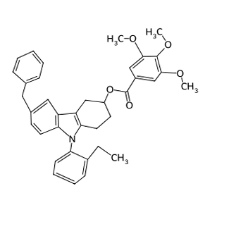 CCc1ccccc1-n1c2c(c3cc(Cc4ccccc4)ccc31)CC(OC(=O)c1cc(OC)c(OC)c(OC)c1)CC2